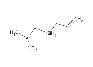 C=CC[SiH2][CH2][Pt]([CH3])[CH3]